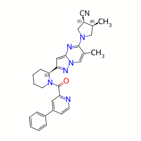 Cc1cn2nc([C@@H]3CCCCN3C(=O)c3cc(-c4ccccc4)ccn3)cc2nc1N1C[C@@H](C#N)[C@@H](C)C1